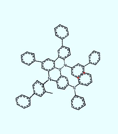 Cc1cc(-c2ccccc2)ccc1N1c2ccc(N(c3ccccc3)c3ccccc3)cc2B2c3c(cc(-c4ccccc4)cc31)-c1cc(-c3ccccc3)ccc1N2c1cccc(-c2ccccc2)c1